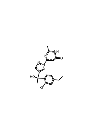 CCc1ccc(C(C)(O)c2cnn(-c3cc(=O)[nH]c(C)n3)c2)c(Cl)c1